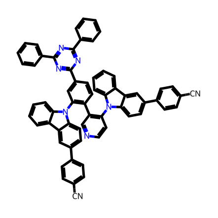 N#Cc1ccc(-c2ccc3c(c2)c2ccccc2n3-c2ccncc2-c2ccc(-c3nc(-c4ccccc4)nc(-c4ccccc4)n3)cc2-n2c3ccccc3c3cc(-c4ccc(C#N)cc4)ccc32)cc1